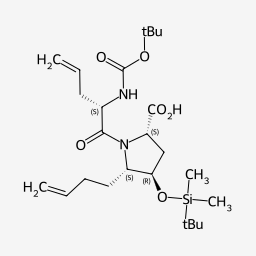 C=CCC[C@H]1[C@H](O[Si](C)(C)C(C)(C)C)C[C@@H](C(=O)O)N1C(=O)[C@H](CC=C)NC(=O)OC(C)(C)C